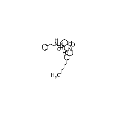 CCCCCCc1ccc2c(c1)CCN1C(=O)[C@H]3CCCN(C(=O)NCCc4ccccc4)[C@H]3C[C@@H]21